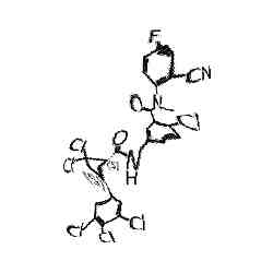 CN(C(=O)c1cc(NC(=O)[C@@H]2[C@@H](c3cc(Cl)c(Cl)c(Cl)c3)C2(Cl)Cl)ccc1Cl)c1ccc(F)cc1C#N